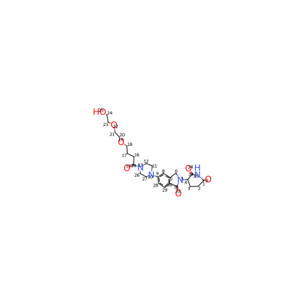 O=C1CCC(N2Cc3cc(N4CCN(C(=O)CCCOCCOCCO)CC4)ccc3C2=O)C(=O)N1